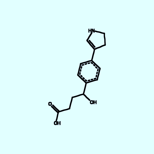 O=C(O)CCC(O)c1ccc(C2=CNCC2)cc1